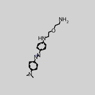 CN(C)c1ccc(/N=N/c2ccc(NCCOCCN)cc2)cc1